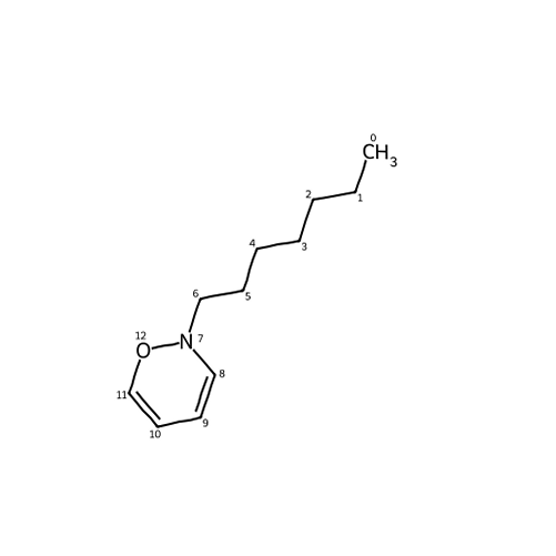 CCCCCCCN1C=CC=CO1